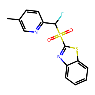 Cc1ccc(C(F)S(=O)(=O)c2nc3ccccc3s2)nc1